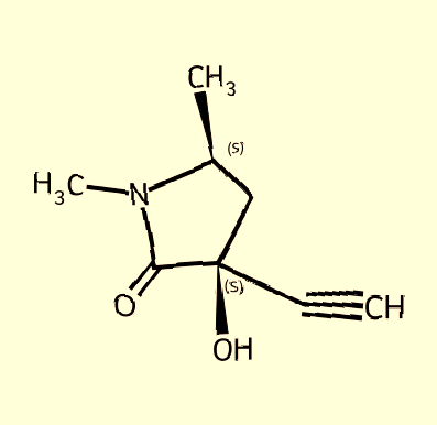 C#C[C@@]1(O)C[C@H](C)N(C)C1=O